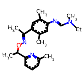 CCN(C)C=Nc1cc(C)c(C(C)=NOC(C)c2cccc(C)n2)cc1C